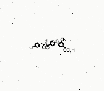 N#Cc1cc(CC(=O)O)ccc1Oc1ccc(C(=O)NC(Cl)Cc2ccc(Cl)cc2)cc1